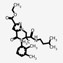 CCOC(=O)c1cc2n(n1)CC(C)(C(=O)NCCC(C)C)N(c1cccc(C)c1C)C2=O